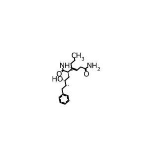 CCCC(=CCC(N)=O)[C@@H](C[C@@H](O)[CH]Cc1ccccc1)C(N)=O